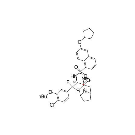 CCCCOc1cc(C(F)(F)[C@@H](NS(=O)(=O)c2cccc3cc(OC4CCCC4)ccc23)C(=O)N2C3CCC2CC(N)C3)ccc1Cl